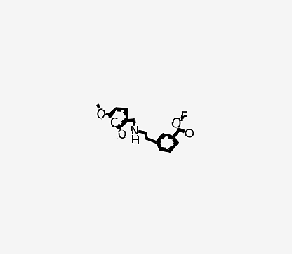 COc1ccc(CNCCc2cccc(C(=O)OF)c2)c(OC)c1